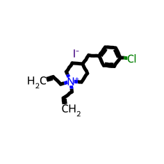 C=CC[N+]1(CC=C)CCC(Cc2ccc(Cl)cc2)CC1.[I-]